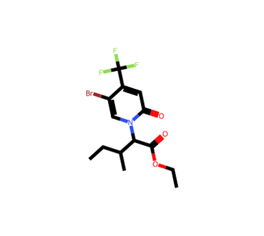 CCOC(=O)C(C(C)CC)n1cc(Br)c(C(F)(F)F)cc1=O